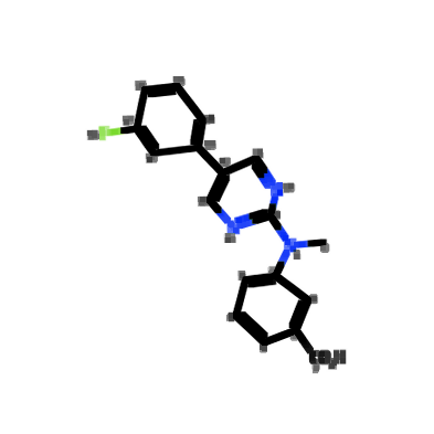 CN(c1cccc(C(=O)O)c1)c1ncc(-c2cccc(F)c2)cn1